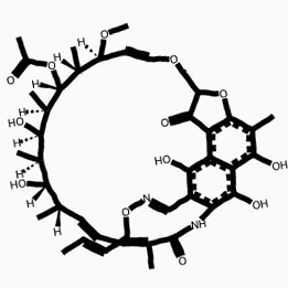 C/C=C/CO/N=C/c1c2c(O)c3c(O)c(C)c4c(c3c1O)C(=O)[C@@](C)(O/C=C/[C@H](OC)[C@@H](C)[C@@H](OC(C)=O)[C@H](C)[C@H](O)[C@H](C)[C@@H](O)[C@@H](C)/C=C/C=C(/C)C(=O)N2)O4